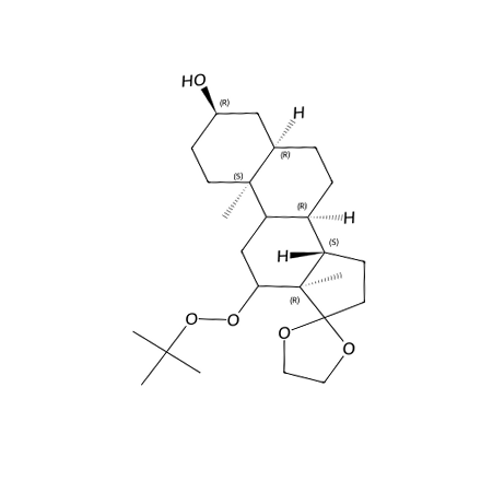 CC(C)(C)OOC1CC2[C@@H](CC[C@@H]3C[C@H](O)CC[C@]23C)[C@@H]2CCC3(OCCO3)[C@@]12C